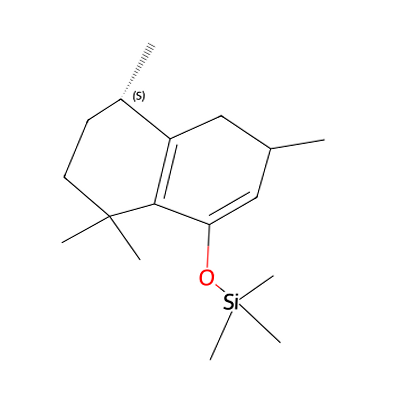 CC1C=C(O[Si](C)(C)C)C2=C(C1)[C@@H](C)CCC2(C)C